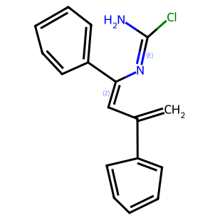 C=C(/C=C(\N=C(/N)Cl)c1ccccc1)c1ccccc1